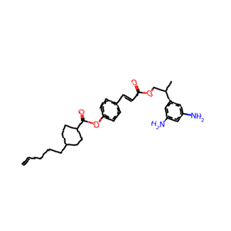 C=CCCCC1CCC(C(=O)Oc2ccc(/C=C/C(=O)OCC(C)c3cc(N)cc(N)c3)cc2)CC1